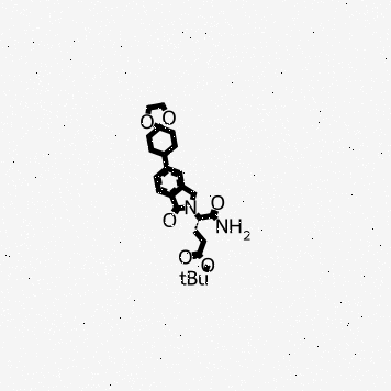 CC(C)(C)OC(=O)CC[C@@H](C(N)=O)N1Cc2cc(C3CCC4(CC3)OCCO4)ccc2C1=O